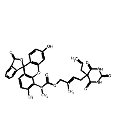 C=CCC1(C/C=C(\C)COC(=O)N(C)c2c(O)ccc3c2Oc2cc(O)ccc2C32OC(=O)c3ccccc32)C(=O)NC(=O)NC1=O